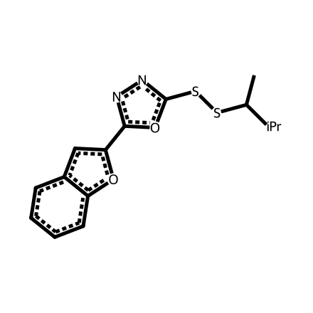 CC(C)C(C)SSc1nnc(-c2cc3ccccc3o2)o1